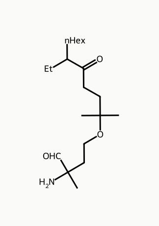 CCCCCCC(CC)C(=O)CCC(C)(C)OCCC(C)(N)C=O